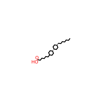 CCCCCCC[C@H]1CC[C@H](C2CCC(CCCCCC(=O)O)CC2)CC1